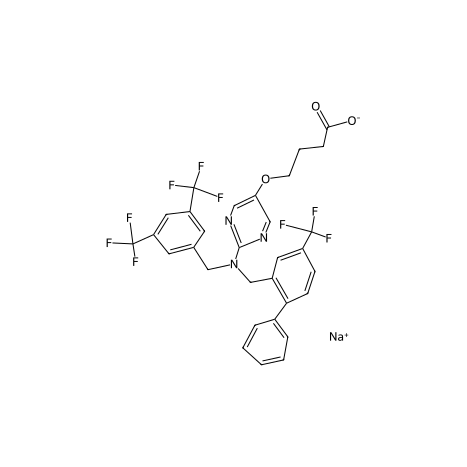 O=C([O-])CCCOc1cnc(N(Cc2cc(C(F)(F)F)cc(C(F)(F)F)c2)Cc2cc(C(F)(F)F)ccc2-c2ccccc2)nc1.[Na+]